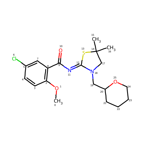 COc1ccc(Cl)cc1C(=O)N=C1SC(C)(C)CN1CC1CCCCO1